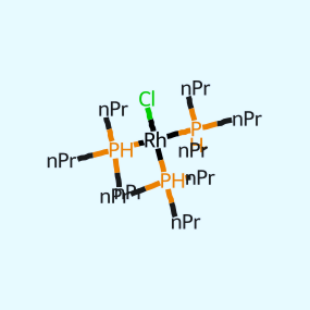 CCC[PH](CCC)(CCC)[Rh]([Cl])([PH](CCC)(CCC)CCC)[PH](CCC)(CCC)CCC